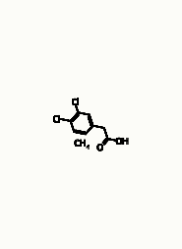 C.O=C(O)Cc1ccc(Cl)c(Cl)c1